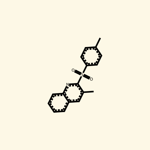 Cc1ccc(S(=O)(=O)c2nc3ccccc3cc2C)cc1